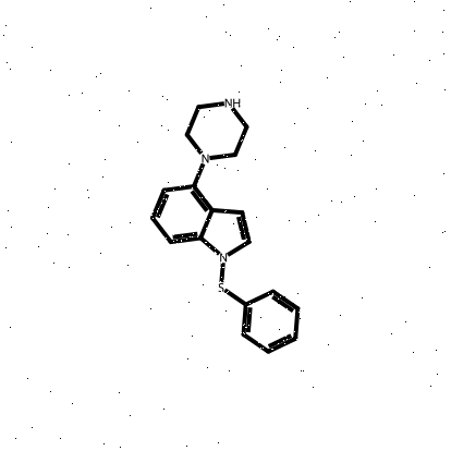 c1ccc(Sn2ccc3c(N4CCNCC4)cccc32)cc1